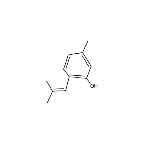 CC(C)=Cc1ccc(C)cc1O